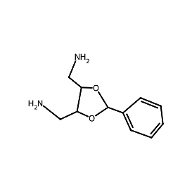 NCC1OC(c2ccccc2)OC1CN